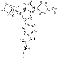 CCNC(=O)Nc1ccc(-c2nc(N3CC4CCC(C3)O4)c3cnn(C4CCC(OC)CC4)c3n2)cc1